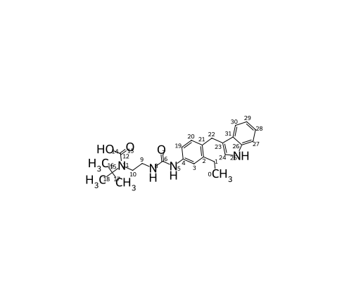 CCc1cc(NC(=O)NCCN(C(=O)O)C(C)(C)C)ccc1Cc1c[nH]c2ccccc12